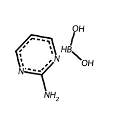 Nc1ncccn1.OBO